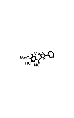 COc1cc(/C(=C\C#N)c2csc(-c3ccccc3)n2)cc(O)c1OC